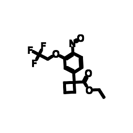 CCOC(=O)C1(c2ccc(N=O)c(OCC(F)(F)F)c2)CCC1